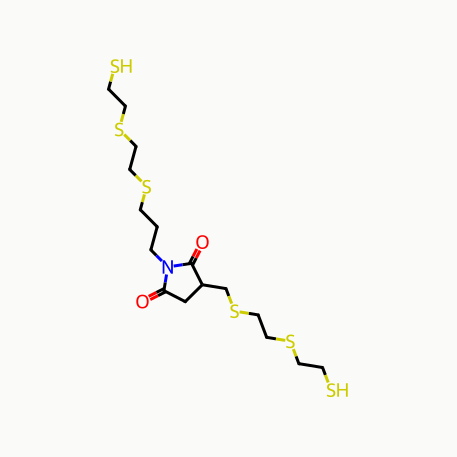 O=C1CC(CSCCSCCS)C(=O)N1CCCSCCSCCS